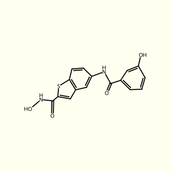 O=C(Nc1ccc2sc(C(=O)NO)cc2c1)c1cccc(O)c1